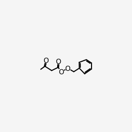 CC(=O)CC(=O)OOCc1ccccc1